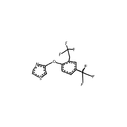 FC(F)(F)c1ccc(Oc2cs[c]n2)c(C(F)(F)F)c1